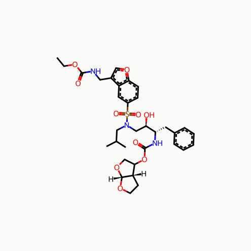 CCOC(=O)NCc1coc2ccc(S(=O)(=O)N(CC(C)C)C[C@@H](O)[C@H](Cc3ccccc3)NC(=O)OC3CO[C@H]4OCC[C@@H]34)cc12